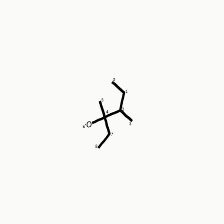 CCC(C)C(C)([O])CC